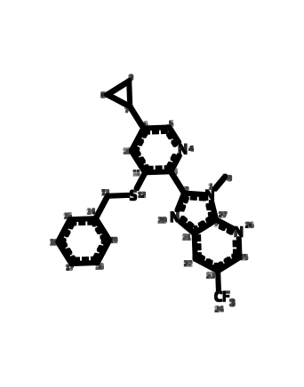 Cn1c(-c2ncc(C3CC3)cc2SCc2ccccc2)nc2cc(C(F)(F)F)cnc21